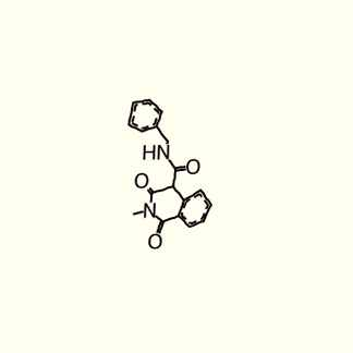 CN1C(=O)c2ccccc2C(C(=O)NCc2ccccc2)C1=O